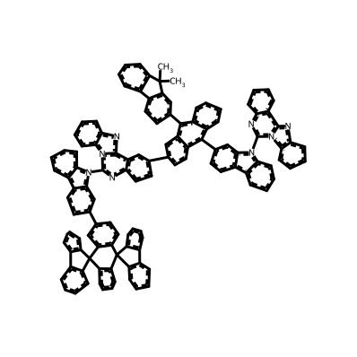 CC1(C)c2ccccc2-c2ccc(-c3c4ccccc4c(-c4ccc5c6ccccc6n(-c6nc7ccccc7c7nc8ccccc8n67)c5c4)c4ccc(-c5ccc6nc(-n7c8ccccc8c8ccc(-c9ccc%10c(c9)C9(c%11ccccc%11-c%11ccccc%119)c9ccccc9C%109c%10ccccc%10-c%10ccccc%109)cc87)n7c8ccccc8nc7c6c5)cc34)cc21